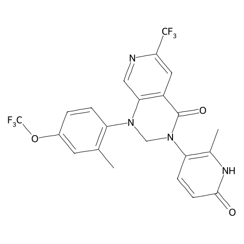 Cc1cc(OC(F)(F)F)ccc1N1CN(c2ccc(=O)[nH]c2C)C(=O)c2cc(C(F)(F)F)ncc21